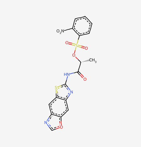 C[C@@H](OS(=O)(=O)c1ccccc1[N+](=O)[O-])C(=O)Nc1nc2cc3ocnc3cc2s1